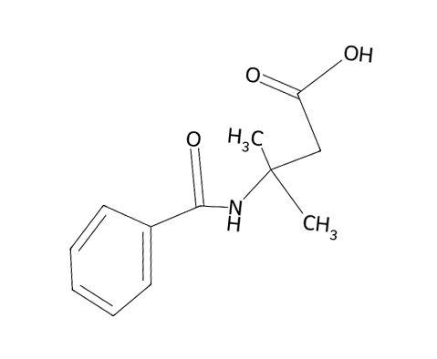 CC(C)(CC(=O)O)NC(=O)c1ccccc1